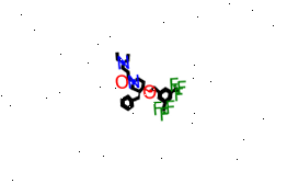 CCN(CC)CCC(=O)N1CC[C@@H](OCc2cc(C(F)(F)F)cc(C(F)(F)F)c2)[C@@H](Cc2ccccc2)C1